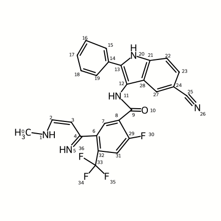 CN/C=C\C(=N)c1cc(C(=O)Nc2c(-c3ccccc3)[nH]c3ccc(C#N)cc23)c(F)cc1C(F)(F)F